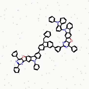 c1ccc(CC2c3ccc(-c4cccc(-c5nc(-c6ccccc6)c6oc7cc8c9ccccc9n(-c9cccc%10c9c9ccccc9n%10-c9ccccc9)c8cc7c6n5)c4)cc3-c3cc(-c4ccc5c(c4)c4cc6oc7c(-c8ccccc8)nc(-c8ccccc8)nc7c6cc4n5-c4ccccc4)ccc32)cc1